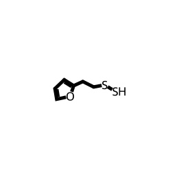 SSCCc1ccco1